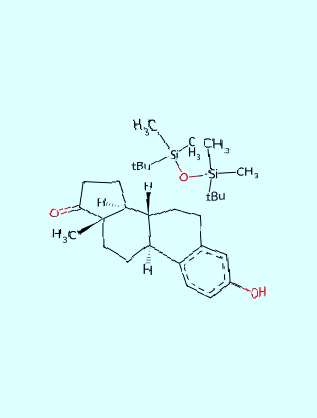 CC(C)(C)[Si](C)(C)O[Si](C)(C)C(C)(C)C.C[C@]12CC[C@@H]3c4ccc(O)cc4CC[C@H]3[C@@H]1CCC2=O